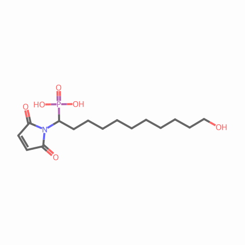 O=C1C=CC(=O)N1C(CCCCCCCCCCO)P(=O)(O)O